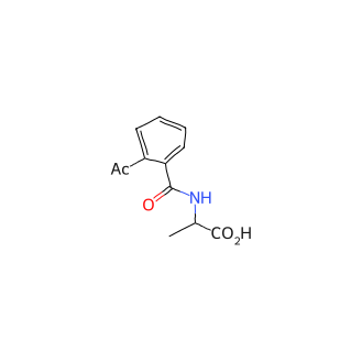 CC(=O)c1ccccc1C(=O)NC(C)C(=O)O